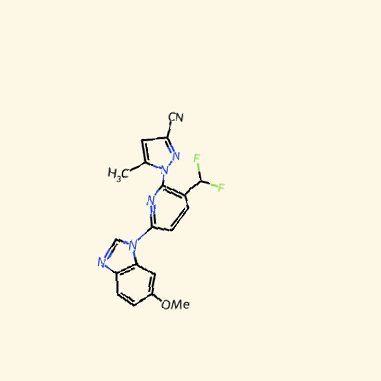 COc1ccc2ncn(-c3ccc(C(F)F)c(-n4nc(C#N)cc4C)n3)c2c1